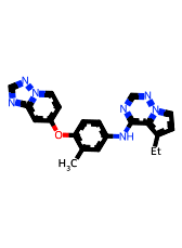 CCc1ccn2ncnc(Nc3ccc(Oc4ccn5ncnc5c4)c(C)c3)c12